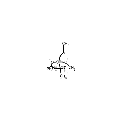 CCC[Si](OC)(OC)C(C)(C)C